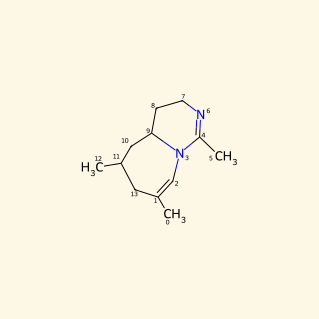 CC1=CN2C(C)=NCCC2CC(C)C1